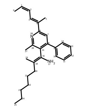 C/C=C\C=C(/C)c1cc(-c2ccccc2)c(/C(N)=C(\C)CCCCCC)c(C)n1